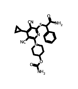 N#Cc1c(SC(C(N)=O)c2ccccc2)nc(N2CCC(OC(N)=O)CC2)c(C#N)c1C1CC1